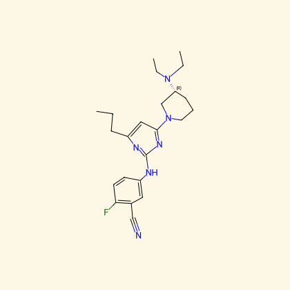 CCCc1cc(N2CCC[C@@H](N(CC)CC)C2)nc(Nc2ccc(F)c(C#N)c2)n1